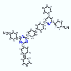 N#Cc1ccc(-c2cc(-c3ccccc3)cc(-c3ccc(-c4ccc(-c5nc(-c6ccc(C#N)cc6)nc(-c6ccc(-c7ccccc7)cc6)n5)cc4)cc3)n2)cc1